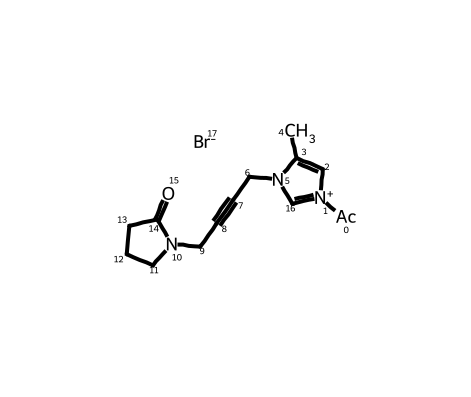 CC(=O)[n+]1cc(C)n(CC#CCN2CCCC2=O)c1.[Br-]